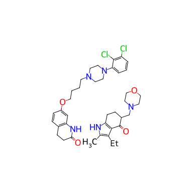 CCc1c(C)[nH]c2c1C(=O)C(CN1CCOCC1)CC2.O=C1CCc2ccc(OCCCCN3CCN(c4cccc(Cl)c4Cl)CC3)cc2N1